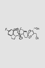 CCOC(=O)C1=CC2(CCC1S(=O)(=O)C1CCc3cc(F)cc(Cl)c31)O[C@H](CO)[C@@H](CO)O2